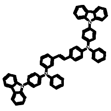 C(=Cc1cccc(N(c2ccccc2)c2ccc(-n3c4ccccc4c4ccccc43)cc2)c1)c1ccc(N(c2ccccc2)c2ccc(-n3c4ccccc4c4ccccc43)cc2)cc1